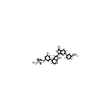 CS(=O)(=O)NCc1cc(F)cc(-c2ccnc3[nH]c(-c4n[nH]c5ccc(-c6cncc(N)c6)nc45)cc23)c1